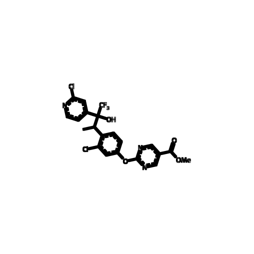 COC(=O)c1cnc(Oc2ccc(C(C)C(O)(c3ccnc(Cl)c3)C(F)(F)F)c(Cl)c2)nc1